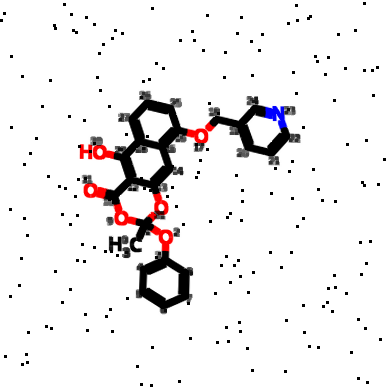 CC1(Oc2ccccc2)OC(=O)c2c(cc3c(OCc4cccnc4)cccc3c2O)O1